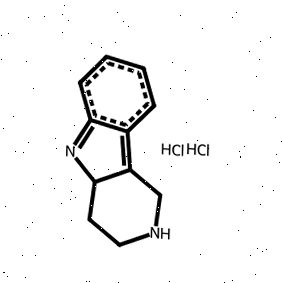 Cl.Cl.c1ccc2c(c1)=NC1CCNCC=21